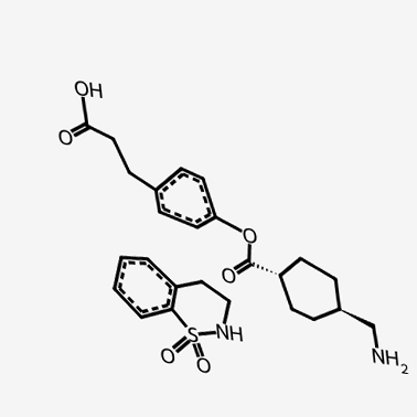 NC[C@H]1CC[C@H](C(=O)Oc2ccc(CCC(=O)O)cc2)CC1.O=S1(=O)NCCc2ccccc21